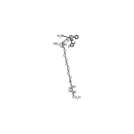 CC(C)(C)[C@H](c1cc(-c2cc(F)ccc2F)cn1Cc1ccccc1)N(CCCN)C(=O)CSC[C@H](NC(=O)CCOCCOCCOCCOCCOCCOCCOCCOCCNC(=O)CNC(=O)CCC(=O)O)C(=O)O